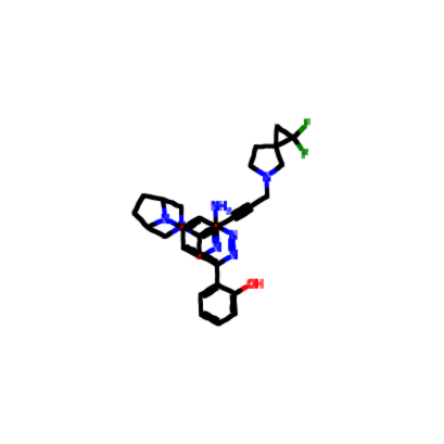 Nc1nnc(-c2ccccc2O)cc1N1CC2CCC(C1)N2c1ccnc(C#CCN2CCC3(C2)CC3(F)F)c1